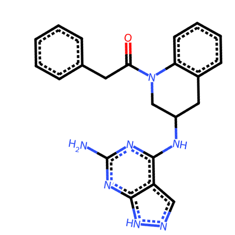 Nc1nc(NC2Cc3ccccc3N(C(=O)Cc3ccccc3)C2)c2cn[nH]c2n1